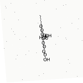 CCCCCCCCOCCOCCOCCOCCOCCOCCOCCOCCO.O=S(=O)(O)O